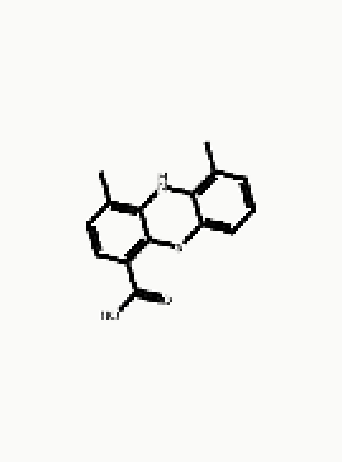 Cc1cccc2c1Nc1c(C)ccc(C(=O)O)c1S2